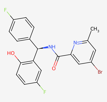 Cc1cc(Br)cc(C(=O)N[C@H](c2ccc(F)cc2)c2cc(F)ccc2O)n1